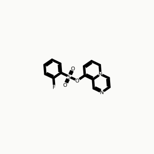 O=S(=O)(OC1=C2C=NC=CN2CC=C1)c1ccccc1F